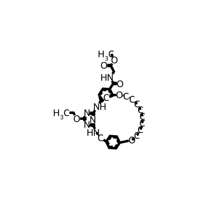 CCOc1nc2nc(n1)Nc1ccc(C(=O)NCC(=O)OC)c(c1)OCCCCCCCCOc1ccc(cc1)CN2